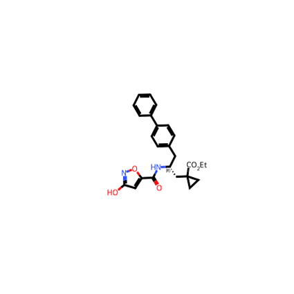 CCOC(=O)C1(C[C@@H](Cc2ccc(-c3ccccc3)cc2)NC(=O)c2cc(O)no2)CC1